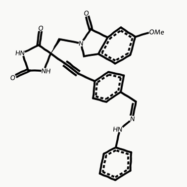 COc1ccc2c(c1)C(=O)N(C[C@@]1(C#Cc3ccc(/C=N\Nc4ccccc4)cc3)NC(=O)NC1=O)C2